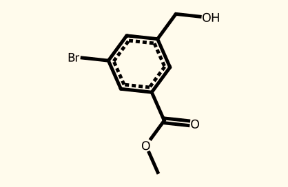 COC(=O)c1cc(Br)cc(CO)c1